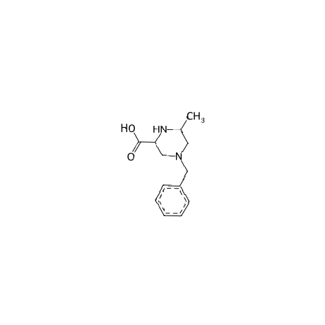 CC1CN(Cc2ccccc2)CC(C(=O)O)N1